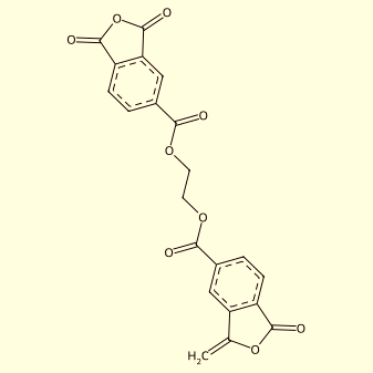 C=C1OC(=O)c2ccc(C(=O)OCCOC(=O)c3ccc4c(c3)C(=O)OC4=O)cc21